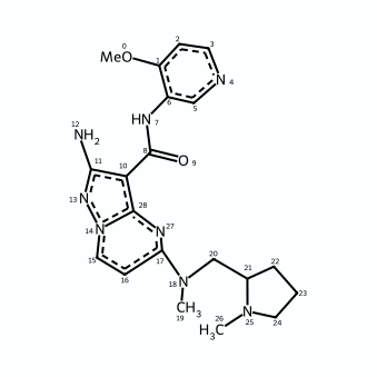 COc1ccncc1NC(=O)c1c(N)nn2ccc(N(C)CC3CCCN3C)nc12